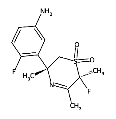 CC1=N[C@](C)(c2cc(N)ccc2F)CS(=O)(=O)[C@@]1(C)F